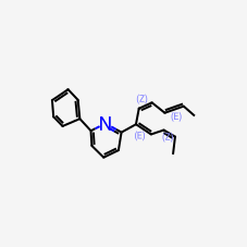 C\C=C/C=C(\C=C/C=C/C)c1cccc(-c2ccccc2)n1